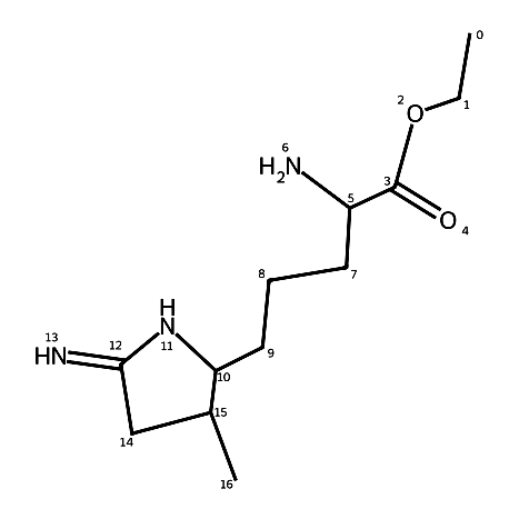 CCOC(=O)C(N)CCCC1NC(=N)CC1C